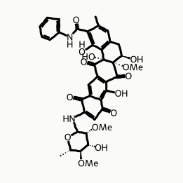 CO[C@@H]1[C@@H](O)[C@@H](OC)C(NC2=CC(=O)c3c(cc4c(c3O)C(=O)[C@]3(OC)[C@H](O)Cc5cc(C)c(C(=O)Nc6ccccc6)c(O)c5[C@]3(O)C4=O)C2=O)O[C@H]1C